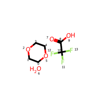 C1COCCO1.O.O=C(O)C(F)(F)F